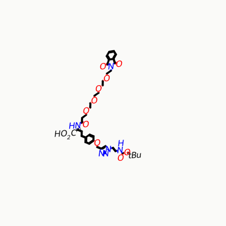 CC(C)(C)OC(=O)NCCn1cc(COc2ccc(CC[C@H](NC(=O)CCOCCOCCOCCOCCN3C(=O)c4ccccc4C3=O)C(=O)O)cc2)nn1